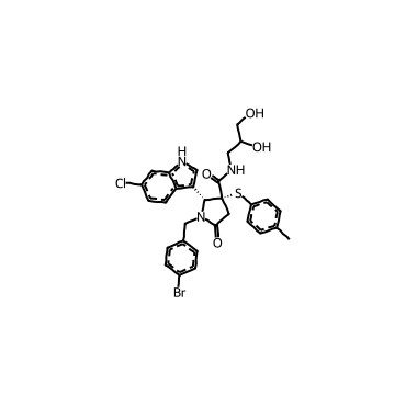 Cc1ccc(S[C@]2(C(=O)NCC(O)CO)CC(=O)N(Cc3ccc(Br)cc3)[C@@H]2c2c[nH]c3cc(Cl)ccc23)cc1